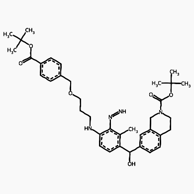 Cc1c(C(O)c2ccc3c(c2)CN(C(=O)OC(C)(C)C)CC3)ccc(NCCCOCc2ccc(C(=O)OC(C)(C)C)cc2)c1N=N